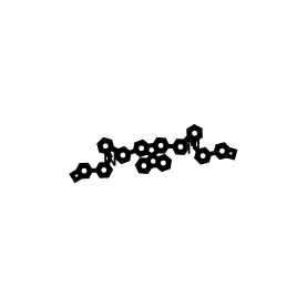 c1cc(-c2ccc3c(c2)CC3)cc(-n2c3ccccc3c3cc(-c4ccc5c(c4)C4(c6ccccc6-c6ccccc64)c4cc(-c6ccc7c(c6)c6ccccc6n7-c6cccc(-c7ccc8c(c7)CC8)c6)ccc4-5)ccc32)c1